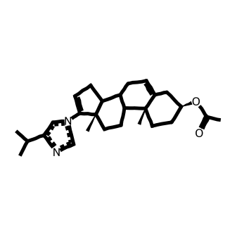 CC(=O)O[C@H]1CC[C@@]2(C)C(=CCC3C2CC[C@]2(C)C(n4cnc(C(C)C)c4)=CCC32)C1